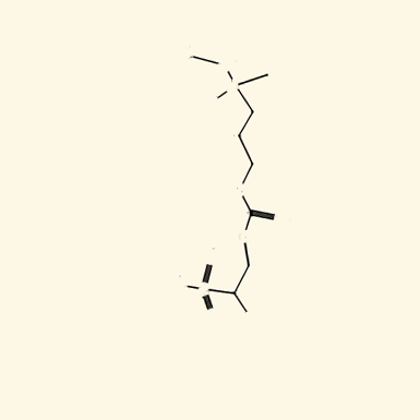 CC(CNC(=O)NCCC[Si](C)(C)O[SiH3])S(=O)(=O)O